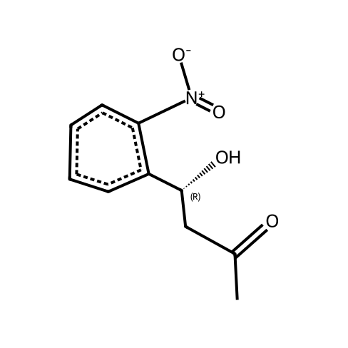 CC(=O)C[C@@H](O)c1ccccc1[N+](=O)[O-]